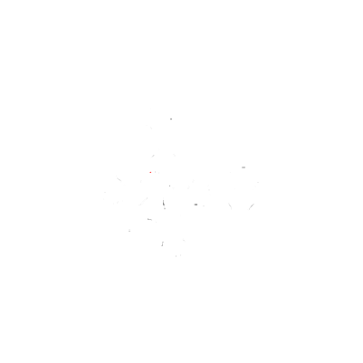 CC(C)(C)c1c2c(c(N(c3ccc(-c4cccc5ccccc45)cc3)c3ccc4c(c3)oc3ccccc34)c3c1-c1ccccc1C3(C)C)C(C)(C)c1ccccc1-2